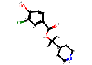 CC(C)(OC(=O)c1ccc(O)c(Cl)c1)C1CCNCC1